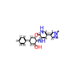 Cn1cc(-c2c[nH]c(=O)c(N[C@@H]3CC[C@@H](c4ccccc4)CC3O)c2)cn1